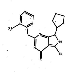 CCc1[nH]n(C2CCCC2)c2nc(Cc3ccccc3[N+](=O)[O-])nc(=O)c1-2